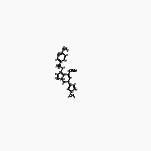 COc1cc(-c2cnn(C)c2)cn2ncc(CNc3ccc(N)nc3)c12